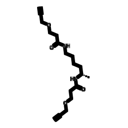 C#CCOCCC(=O)NCCCC[C@H](C)NC(=O)CCOCC#C